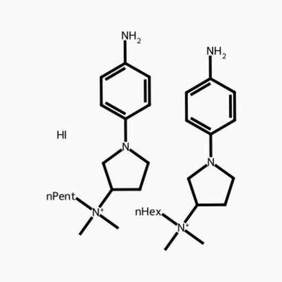 CCCCCC[N+](C)(C)C1CCN(c2ccc(N)cc2)C1.CCCCC[N+](C)(C)C1CCN(c2ccc(N)cc2)C1.I